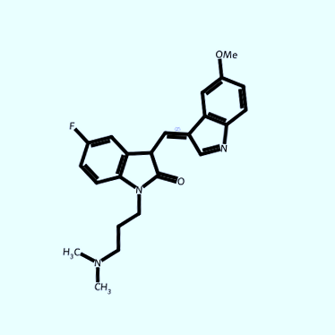 COc1ccc2c(c1)/C(=C/C1C(=O)N(CCCN(C)C)c3ccc(F)cc31)C=N2